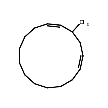 CC1C=CCCCCCCCCCC=CC1